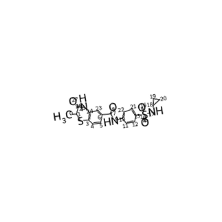 CC1Sc2ccc(C(=O)Nc3ccc(S(=O)(=O)NC4CC4)cc3)cc2NC1=O